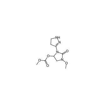 COC(=O)OC1CN(OC)C(=O)N1C1=NNCC1